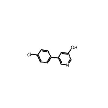 Oc1cncc(-c2ccc(Cl)cc2)c1